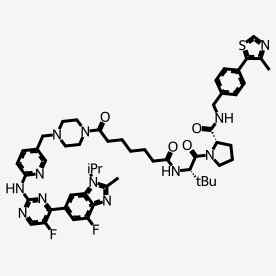 Cc1ncsc1-c1ccc(CNC(=O)[C@@H]2CCCN2C(=O)[C@@H](NC(=O)CCCCCC(=O)N2CCN(Cc3ccc(Nc4ncc(F)c(-c5cc(F)c6nc(C)n(C(C)C)c6c5)n4)nc3)CC2)C(C)(C)C)cc1